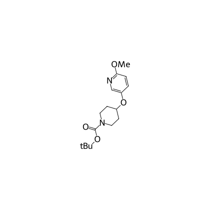 COc1ccc(OC2CCN(C(=O)OC(C)(C)C)CC2)cn1